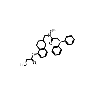 CCCN(CC1CCc2c(cccc2OC(=O)CO)C1)C(=O)CN(c1ccccc1)c1ccccc1